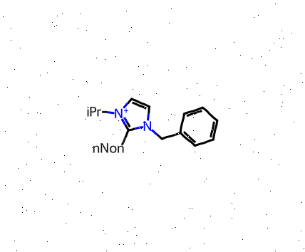 CCCCCCCCCc1n(Cc2ccccc2)cc[n+]1C(C)C